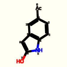 CC(=O)c1ccc2[nH]c(O)cc2c1